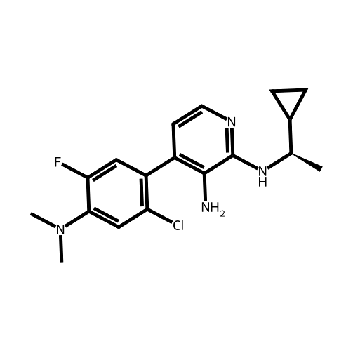 C[C@@H](Nc1nccc(-c2cc(F)c(N(C)C)cc2Cl)c1N)C1CC1